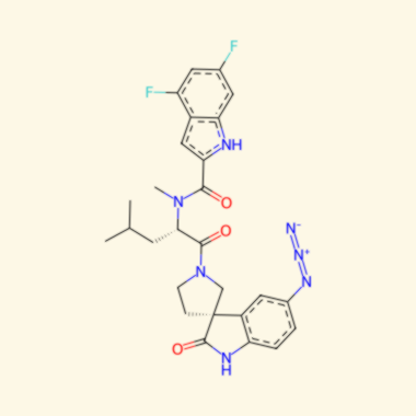 CC(C)C[C@@H](C(=O)N1CC[C@@]2(C1)C(=O)Nc1ccc(N=[N+]=[N-])cc12)N(C)C(=O)c1cc2c(F)cc(F)cc2[nH]1